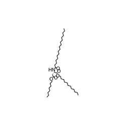 CCCCCCCCCCCCCCCCCC(=O)N[C@@H](CC(=O)OCCCCCCCC)C(=O)OCCCCCCCCCCCC